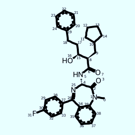 CN1C(=O)[C@@H](NC(=O)[C@H](CC2CCCC2)[C@@H](O)CCc2ccccc2)N=C(c2ccc(F)cc2)c2ccccc21